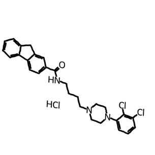 Cl.O=C(NCCCCN1CCN(c2cccc(Cl)c2Cl)CC1)c1ccc2c(c1)Cc1ccccc1-2